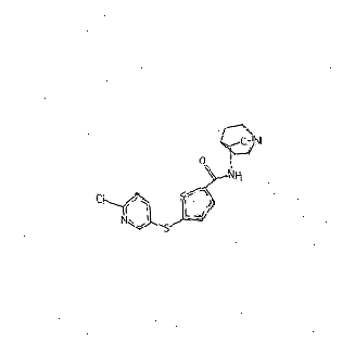 O=C(NC1CN2CCC1CC2)c1ccc(Sc2ccc(Cl)nc2)s1